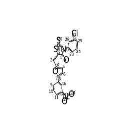 O=C1/C(=C\c2ccc(-c3cccc([N+](=O)[O-])c3)o2)SC(=S)N1c1cccc(Cl)c1